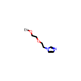 CCOCCOCCn1c[c]nc1